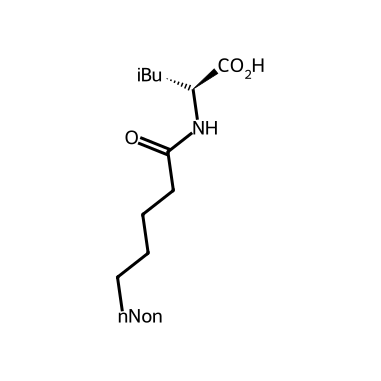 CCCCCCCCCCCCCC(=O)N[C@H](C(=O)O)[C@@H](C)CC